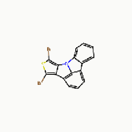 Brc1sc(Br)c2c1c1cccc3c4ccccc4n2c31